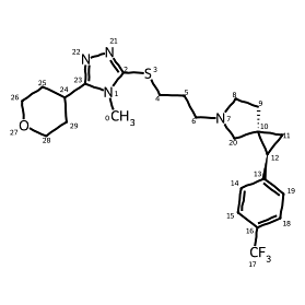 Cn1c(SCCCN2CC[C@@]3(C[C@H]3c3ccc(C(F)(F)F)cc3)C2)nnc1C1CCOCC1